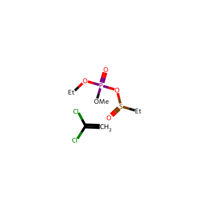 C=C(Cl)Cl.CCOP(=O)(OC)OS(=O)CC